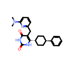 CN(C)c1cccc(Cc2c(=O)[nH]c(=O)[nH]c2[C@H]2CC[C@H](c3ccccc3)CC2)n1